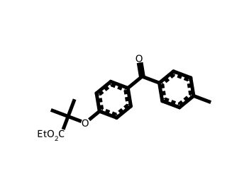 CCOC(=O)C(C)(C)Oc1ccc(C(=O)c2ccc(C)cc2)cc1